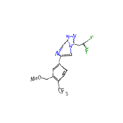 COCc1cc(-c2cn3c(C(F)F)nnc3cn2)ccc1C(F)(F)F